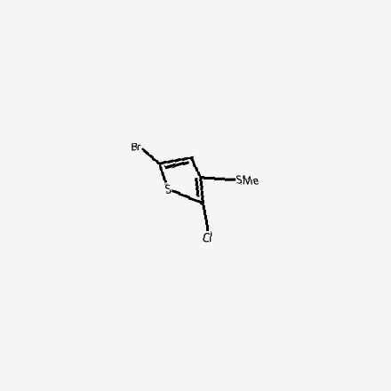 CSc1cc(Br)sc1Cl